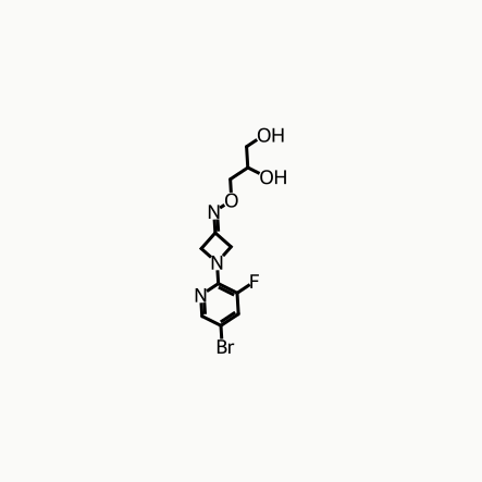 OCC(O)CON=C1CN(c2ncc(Br)cc2F)C1